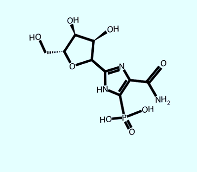 NC(=O)c1nc(C2O[C@H](CO)[C@@H](O)[C@H]2O)[nH]c1P(=O)(O)O